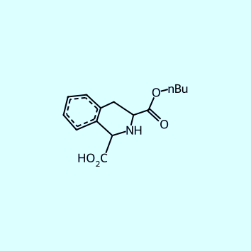 CCCCOC(=O)C1Cc2ccccc2C(C(=O)O)N1